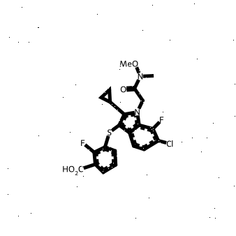 CON(C)C(=O)Cn1c(C2CC2)c(Sc2cccc(C(=O)O)c2F)c2ccc(Cl)c(F)c21